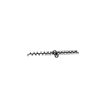 CCCCCCCCCCCCCCCOC(=O)CCCCCCCCCCCC